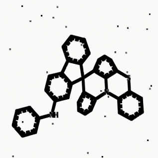 c1ccc(Nc2ccc3c(c2)C2(c4ccccc4-3)c3ccccc3N3c4ccccc4Sc4cccc2c43)cc1